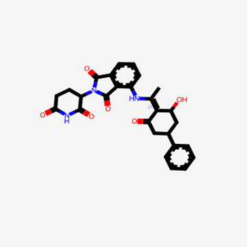 C/C(Nc1cccc2c1C(=O)N(C1CCC(=O)NC1=O)C2=O)=C1/C(=O)CC(c2ccccc2)CC1O